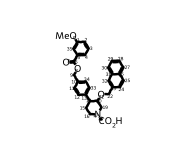 COc1cccc(C(=O)OCc2ccc(C3CCN(C(=O)O)CC3OCc3ccc4ccccc4c3)cc2)c1